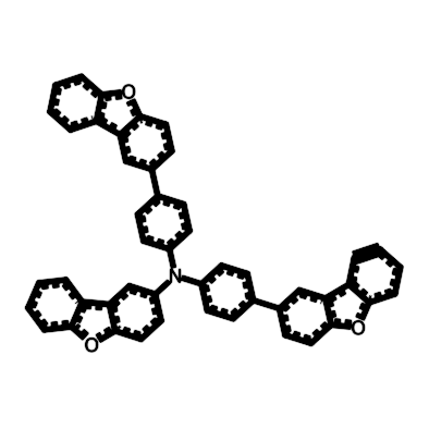 c1ccc2oc3ccc(-c4ccc(N(c5ccc(-c6ccc7oc8ccccc8c7c6)cc5)c5ccc6oc7ccccc7c6c5)cc4)cc3c2c#1